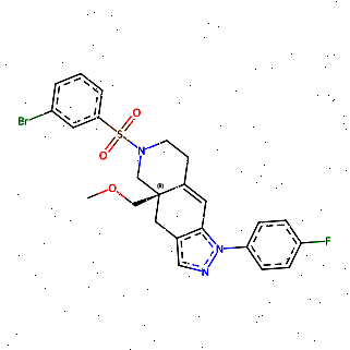 COC[C@]12Cc3cnn(-c4ccc(F)cc4)c3C=C1CCN(S(=O)(=O)c1cccc(Br)c1)C2